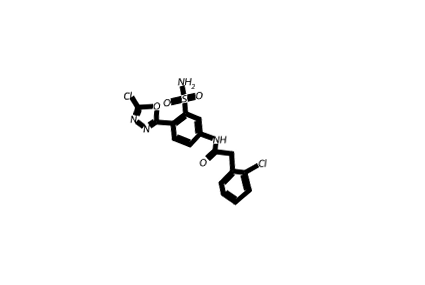 NS(=O)(=O)c1cc(NC(=O)Cc2ccccc2Cl)ccc1-c1nnc(Cl)o1